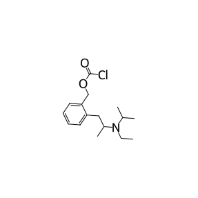 CCN(C(C)C)C(C)Cc1ccccc1COC(=O)Cl